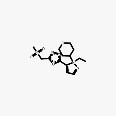 CC[N+]1(C2CCOCC2)N=CC=C1c1nnc(CS(C)(=O)=O)o1